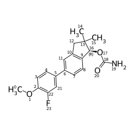 COc1ccc(-c2ccc3c(c2)CC(C)(C)[C@H]3OC(N)=O)cc1F